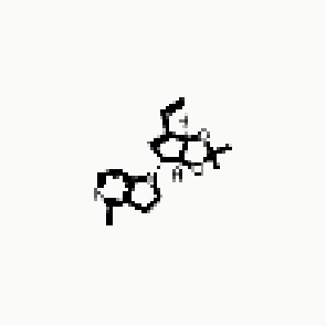 C=CC1=C[C@@H](N2CCc3c2ccnc3C)[C@@H]2OC(C)(C)O[C@H]12